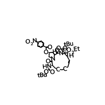 CCOC(=O)[C@@]12C[C@H]1C=CCCCCC[C@H](NC(=O)OC(C)(C)C)C(=O)N1C[C@H](OC(=O)c3ccc([N+](=O)[O-])cc3)C[C@H]1C(=O)N2C(=O)OC(C)(C)C